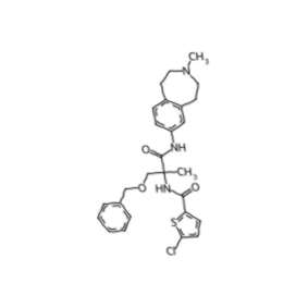 CN1CCc2ccc(NC(=O)C(C)(COCc3ccccc3)NC(=O)c3ccc(Cl)s3)cc2CC1